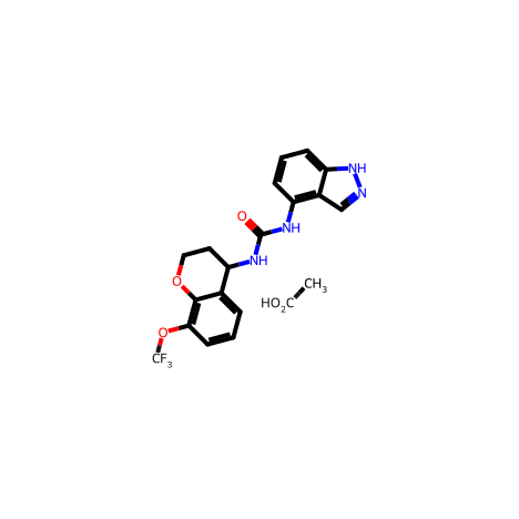 CC(=O)O.O=C(Nc1cccc2[nH]ncc12)NC1CCOc2c(OC(F)(F)F)cccc21